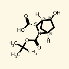 CC(C)(C)OC(=O)N1[C@H]2C[C@@H]([C@H]1C(=O)O)[C@@H](O)C2